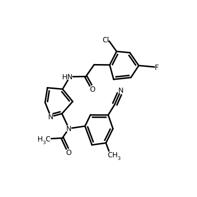 CC(=O)N(c1cc(C)cc(C#N)c1)c1cc(NC(=O)Cc2ccc(F)cc2Cl)ccn1